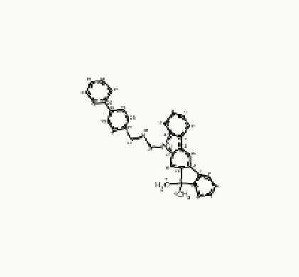 CC1(C)c2ccccc2-c2cc3c4ccccc4n(C/N=C/c4ccc(-c5ccccc5)cc4)c3cc21